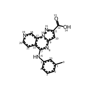 Cc1cccc(Nc2nc3cc(C(=O)O)nn3c3cnccc23)c1